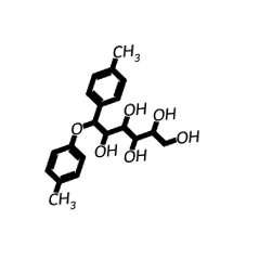 Cc1ccc(OC(c2ccc(C)cc2)C(O)C(O)C(O)C(O)CO)cc1